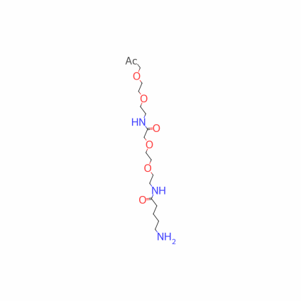 CC(=O)COCCOCCNC(=O)COCCOCCNC(=O)CCCCN